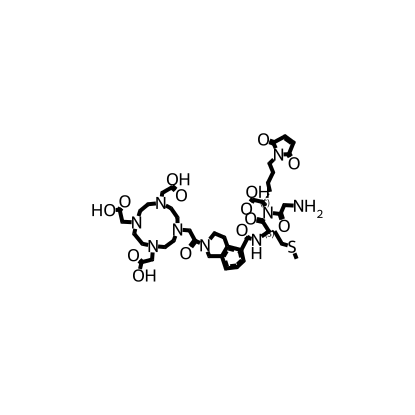 CSCC[C@H](NC(=O)c1cccc2c1CCN(C(=O)CN1CCN(CC(=O)O)CCN(CC(=O)O)CCN(CC(=O)O)CC1)C2)C(=O)N(C(=O)CN)[C@@H](CCCCN1C(=O)C=CC1=O)C(=O)O